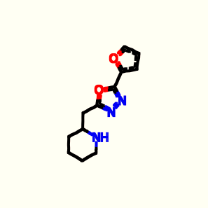 c1coc(-c2nnc(CC3CCCCN3)o2)c1